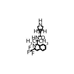 CC(C)(NC(=O)[C@H]1[C@@H]2CNC[C@@H]21)c1nc(C(F)(F)F)cc2ccccc12